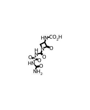 NC(=O)NS(=O)(=O)NC(=O)N1CC(NC(=O)O)C1=O